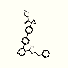 CCOC(=O)C1(c2ccc(-c3ccc(-c4cnccc4C(O)CCCc4ccccc4)cc3)cc2)CC1